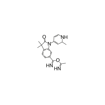 CC(=N)OC(=N)c1ccc2c(c1)N(C1=CC(C)NC=C1)C(=O)C2(C)C